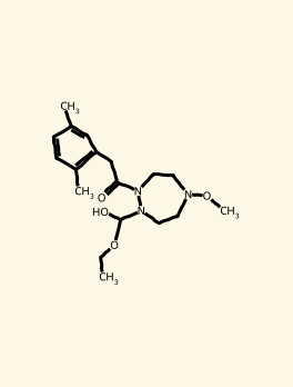 CCOC(O)N1CCN(OC)CCN1C(=O)Cc1cc(C)ccc1C